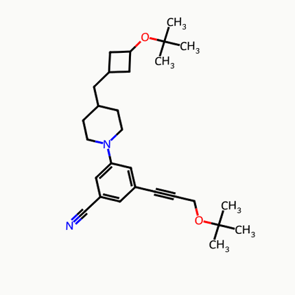 CC(C)(C)OCC#Cc1cc(C#N)cc(N2CCC(CC3CC(OC(C)(C)C)C3)CC2)c1